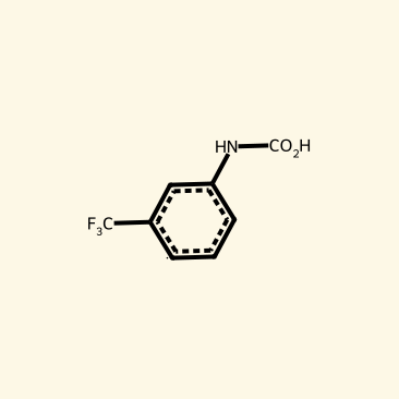 O=C(O)Nc1cc[c]c(C(F)(F)F)c1